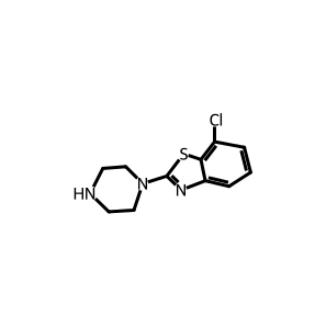 Clc1cccc2nc(N3CCNCC3)sc12